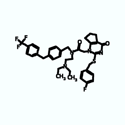 CCN(CC)CCN(Cc1ccc(Cc2ccc(C(F)(F)F)cc2)cc1)C(=O)Cn1c(SCc2ccc(F)cc2)nc(=O)c2c1CCC2